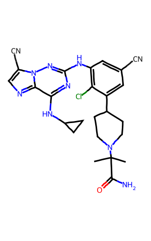 CC(C)(C(N)=O)N1CCC(c2cc(C#N)cc(Nc3nc(NC4CC4)c4ncc(C#N)n4n3)c2Cl)CC1